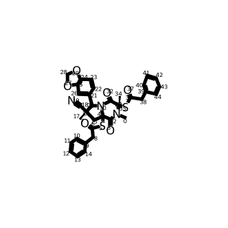 CN1C(=O)C2(SC(=O)Cc3ccccc3)C[C@](C)(C#N)C(c3ccc4c(c3)OCO4)N2C(=O)[C@]1(C)SC(=O)Cc1ccccc1